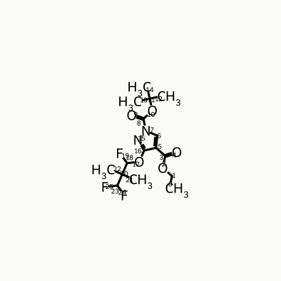 CCOC(=O)c1cn(C(=O)OC(C)(C)C)nc1OC(F)C(C)(C)C(F)F